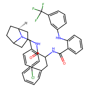 O=C(NC(Cc1ccccc1)C(=O)NC1CC2CC[C@@H](C1)N2Cc1ccc(Cl)cc1)c1ccccc1Nc1cccc(C(F)(F)F)c1